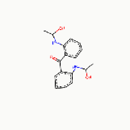 CC(O)Nc1ccccc1C(=O)c1ccccc1NC(C)O